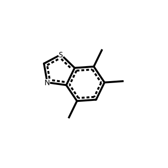 Cc1cc(C)c2ncsc2c1C